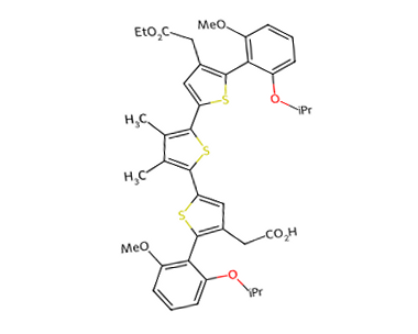 CCOC(=O)Cc1cc(-c2sc(-c3cc(CC(=O)O)c(-c4c(OC)cccc4OC(C)C)s3)c(C)c2C)sc1-c1c(OC)cccc1OC(C)C